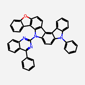 c1ccc(-c2nc(-n3c4ccc5c(c6ccccc6n5-c5ccccc5)c4c4ccc5oc6ccccc6c5c43)nc3ccccc23)cc1